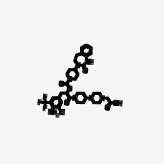 Nc1c(Cl)cc(CC(OC(=O)N2CCC(N3CCc4ccccc4NC3=O)CC2)C(=O)N2CCC(N3CCN(CC(=O)O)CC3)CC2)cc1C(F)(F)F